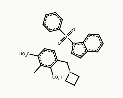 Cc1c(C(=O)O)ccc(CN2CCC2)c1C(=O)O.O=S(=O)(c1ccccc1)n1ccc2ccccc21